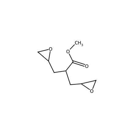 COC(=O)C(CC1CO1)CC1CO1